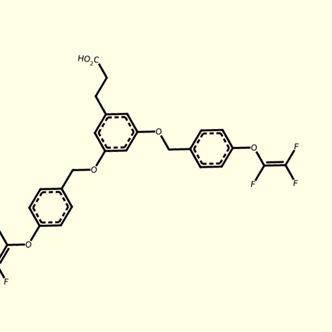 O=C(O)CCc1cc(OCc2ccc(OC(F)=C(F)F)cc2)cc(OCc2ccc(OC(F)=C(F)F)cc2)c1